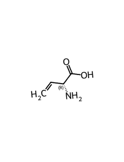 C=C[C@@H](N)C(=O)O